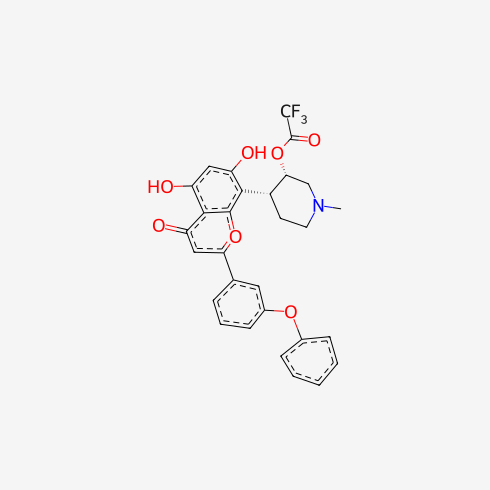 CN1CC[C@H](c2c(O)cc(O)c3c(=O)cc(-c4cccc(Oc5ccccc5)c4)oc23)[C@H](OC(=O)C(F)(F)F)C1